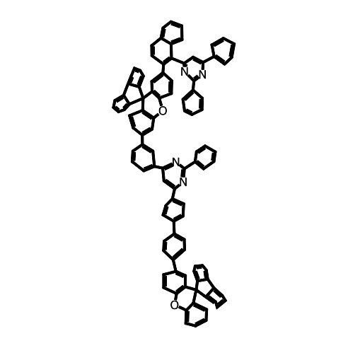 c1ccc(-c2cc(-c3c(-c4ccc5c(c4)C4(c6ccc(-c7cccc(-c8cc(-c9ccc(-c%10ccc(-c%11ccc%12c(c%11)C%11(c%13ccccc%13O%12)c%12ccccc%12-c%12ccccc%12%11)cc%10)cc9)nc(-c9ccccc9)n8)c7)cc6O5)c5ccccc5-c5ccccc54)ccc4ccccc34)nc(-c3ccccc3)n2)cc1